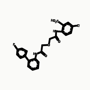 O=C(COCC(=O)Nc1ccccc1-c1ccc(F)cc1)Nc1ccc(Cl)cc1C(=O)O